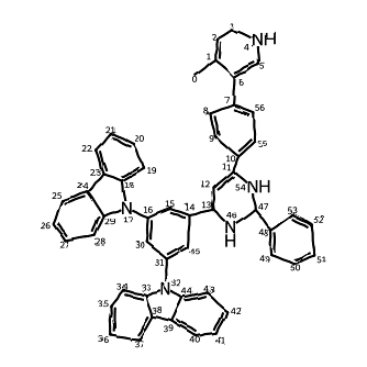 CC1=CCNC=C1c1ccc(C2=CC(c3cc(-n4c5ccccc5c5ccccc54)cc(-n4c5ccccc5c5ccccc54)c3)NC(c3ccccc3)N2)cc1